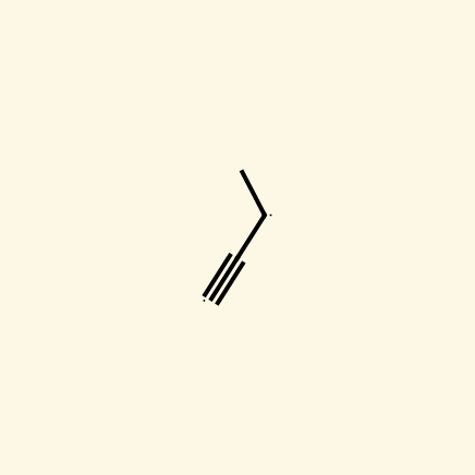 [C]#C[CH]C